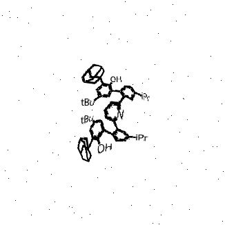 CC(C)c1ccc(-c2cc(C(C)(C)C)cc(C34CC5CC(CC(C5)C3)C4)c2O)c(-c2cccc(-c3cc(C(C)C)ccc3-c3cc(C(C)(C)C)cc(C45CC6CC(CC(C6)C4)C5)c3O)n2)c1